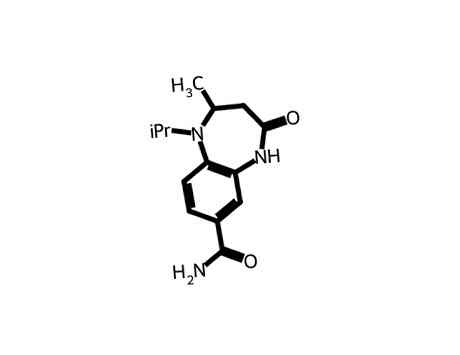 CC(C)N1c2ccc(C(N)=O)cc2NC(=O)CC1C